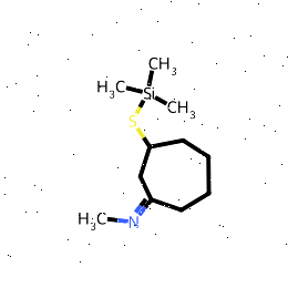 CN=C1CCCCC(S[Si](C)(C)C)C1